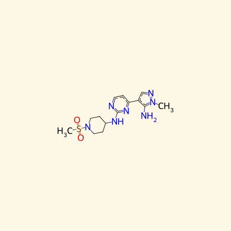 Cn1ncc(-c2ccnc(NC3CCN(S(C)(=O)=O)CC3)n2)c1N